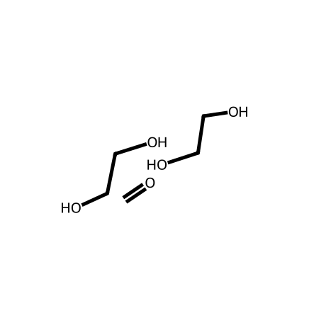 C=O.OCCO.OCCO